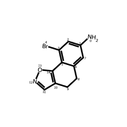 Nc1cc(Br)c2c(c1)CCc1cnoc1-2